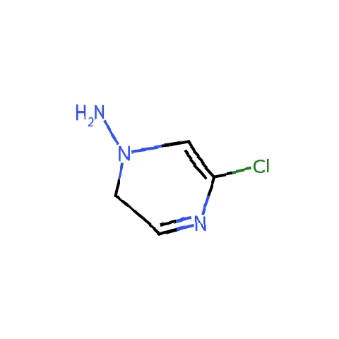 NN1C=C(Cl)N=CC1